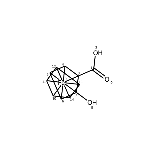 O=C(O)[C]12[CH]3[CH]4[CH]5[C]1(O)[Fe]45321678[CH]2[CH]1[CH]6[CH]7[CH]28